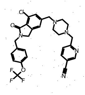 N#Cc1ccc(CN2CCN(Cc3cc(Cl)c4c(c3)CN(Cc3ccc(OC(F)(F)F)cc3)C4=O)CC2)nc1